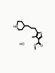 COC(=O)c1csc(CCCC2CCNCC2)c1C.Cl